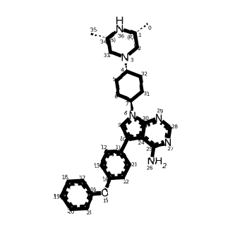 C[C@@H]1CN([C@H]2CC[C@H](n3cc(-c4ccc(Oc5ccccc5)cc4)c4c(N)ncnc43)CC2)C[C@H](C)N1